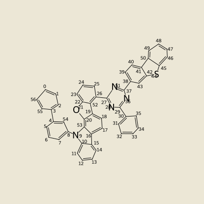 c1ccc(-c2cccc(-n3c4ccccc4c4ccc5c(oc6cccc(-c7nc(-c8ccccc8)nc(-c8ccc9c(c8)sc8ccccc89)n7)c65)c43)c2)cc1